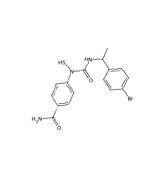 CC(NC(=O)N(S)c1ccc(C(N)=O)cc1)c1ccc(Br)cc1